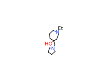 CCN1CCCC(O)(CN2CCCC2)CC1